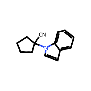 N#CC1(n2ccc3ccccc32)CCCC1